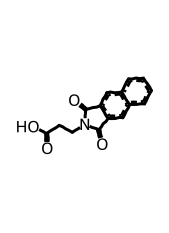 O=C(O)CCN1C(=O)c2cc3ccccc3cc2C1=O